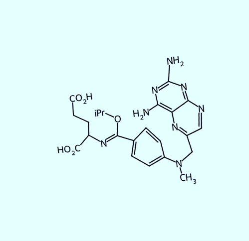 CC(C)O/C(=N\C(CCC(=O)O)C(=O)O)c1ccc(N(C)Cc2cnc3nc(N)nc(N)c3n2)cc1